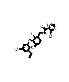 C=Cc1cc(N)cc(Oc2c(Cl)ccc(CNC(=O)c3[nH]cnc3Cl)c2F)c1